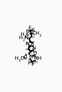 COC[C@H](c1cnn2cc([C@@H](N)CC(C)(C)C(F)(F)F)nc2c1)N1CC(F)(F)CNC1=O